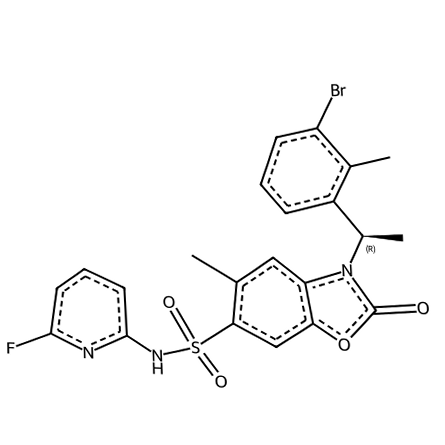 Cc1cc2c(cc1S(=O)(=O)Nc1cccc(F)n1)oc(=O)n2[C@H](C)c1cccc(Br)c1C